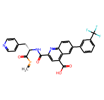 C=PC(=O)[C@H](Cc1ccncc1)NC(=O)c1cc(C(=O)O)c2cc(-c3cccc(C(F)(F)F)c3)ccc2n1